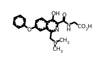 CN(C)Cc1nc(C(=O)NCC(=O)O)c(O)c2ccc(Oc3ccccc3)cc12